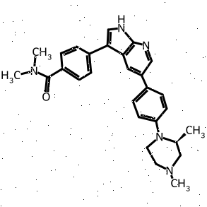 C[C@H]1CN(C)CCN1c1ccc(-c2cnc3[nH]cc(-c4ccc(C(=O)N(C)C)cc4)c3c2)cc1